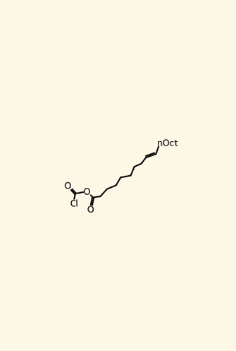 CCCCCCCCC=CCCCCCCCC(=O)OC(=O)Cl